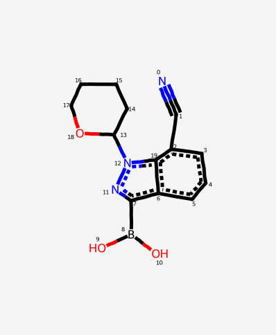 N#Cc1cccc2c(B(O)O)nn(C3CCCCO3)c12